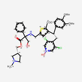 COc1ccc([C@H](Cc2c(Cl)c[n+](O)cc2Cl)c2cc(CNC(CO)(C(=O)OC[C@@H]3CCN(C)C3)c3ccccc3)sc2C(=O)[O-])cc1OC